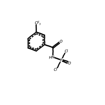 O=C(NP(=O)(Cl)Cl)c1cccc(C(F)(F)F)c1